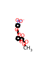 CCOC(=O)c1cc(=O)c2c(OCCOc3ccc([N+](=O)[O-])cc3)cccc2o1